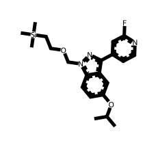 CC(C)Oc1ccc2c(c1)c(-c1ccnc(F)c1)nn2COCC[Si](C)(C)C